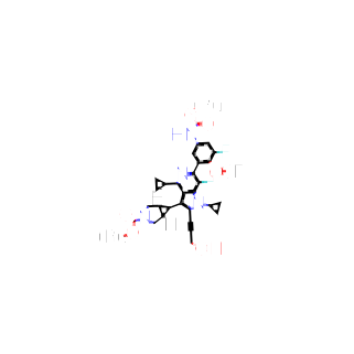 CC(C)(C)OC(=O)Nc1cc(F)c(OC(F)(F)F)c(-c2nc(C3CC3)c3c(C4[C@H]5CN(C(=O)OC(C)(C)C)C[C@@H]45)c(C#CCO)n(C4CC4)c3c2F)c1